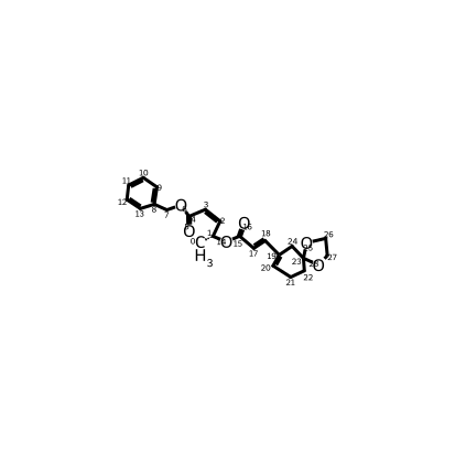 C[C@H](/C=C\C(=O)OCc1ccccc1)OC(=O)/C=C/C1=CCCC2(C1)OCCO2